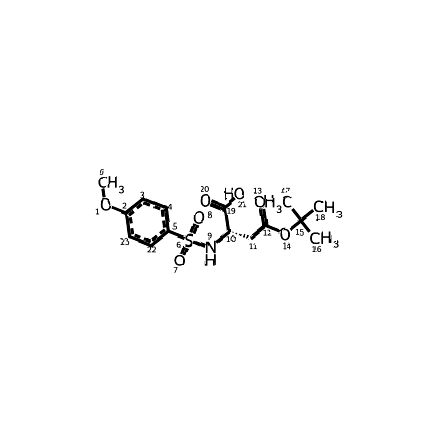 COc1ccc(S(=O)(=O)N[C@@H](CC(=O)OC(C)(C)C)C(=O)O)cc1